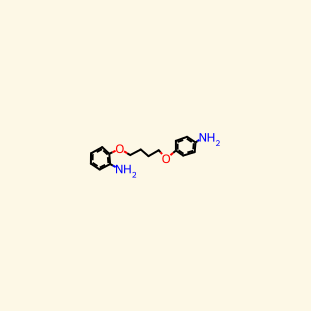 Nc1ccc(OCCCCOc2ccccc2N)cc1